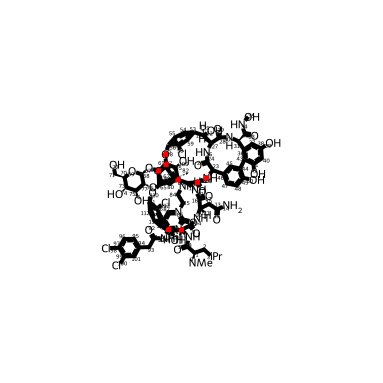 CN[C@H](CC(C)C)C(=O)N[C@H]1C(=O)N[C@@H](CC(N)=O)C(=O)N[C@H]2C(=O)N[C@H]3C(=O)N[C@H](C(=O)N[C@@H](C(=O)NO)c4cc(O)cc(O)c4-c4cc3ccc4O)[C@H](O)c3ccc(c(Cl)c3)Oc3cc2cc(c3O[C@@H]2O[C@H](CO)[C@@H](O)[C@H](O)[C@H]2O[C@H]2C[C@](C)(NCCn3ccc(NC(=O)Cc4ccc(Cl)c(Cl)c4)nc3=O)[C@H](O)[C@H](C)O2)Oc2ccc(cc2Cl)[C@H]1O